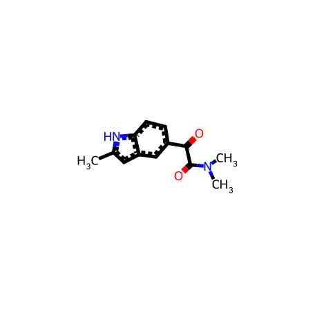 Cc1cc2cc(C(=O)C(=O)N(C)C)ccc2[nH]1